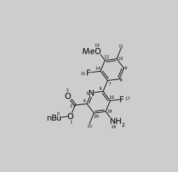 CCCCOC(=O)c1nc(-c2ccc(C)c(OC)c2F)c(F)c(N)c1C